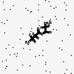 CC(C)C(OC(=O)C(F)(F)C(F)(F)C(F)(F)F)C(F)(F)C(=O)O